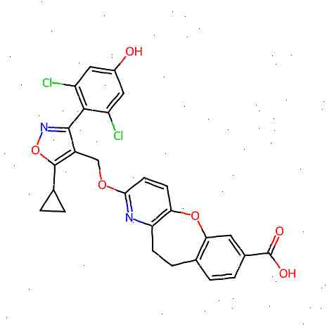 O=C(O)c1ccc2c(c1)Oc1ccc(OCc3c(-c4c(Cl)cc(O)cc4Cl)noc3C3CC3)nc1CC2